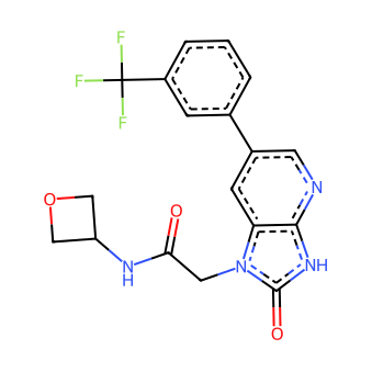 O=C(Cn1c(=O)[nH]c2ncc(-c3cccc(C(F)(F)F)c3)cc21)NC1COC1